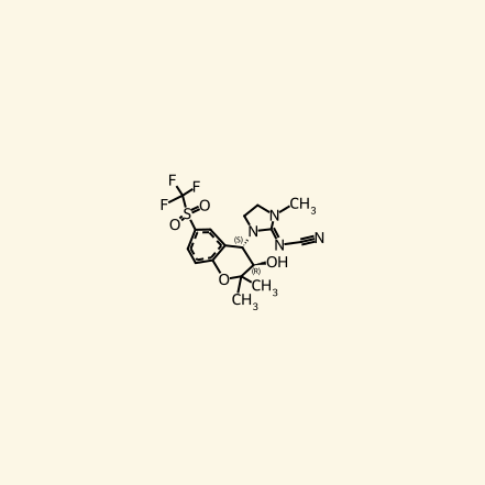 CN1CCN([C@H]2c3cc(S(=O)(=O)C(F)(F)F)ccc3OC(C)(C)[C@@H]2O)C1=NC#N